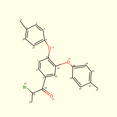 Cc1ccc(Oc2ccc(C(=O)C(C)Br)cc2Oc2ccc(C)cc2)cc1